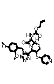 C=CCOC(=O)N[C@@H]1C(=O)N2C(c3nnnn3Cc3ccc(OC)cc3OC)=C(Sc3ccncc3)CS[C@H]12